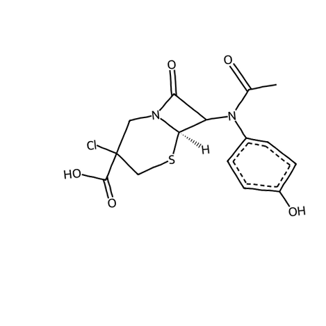 CC(=O)N(c1ccc(O)cc1)C1C(=O)N2CC(Cl)(C(=O)O)CS[C@H]12